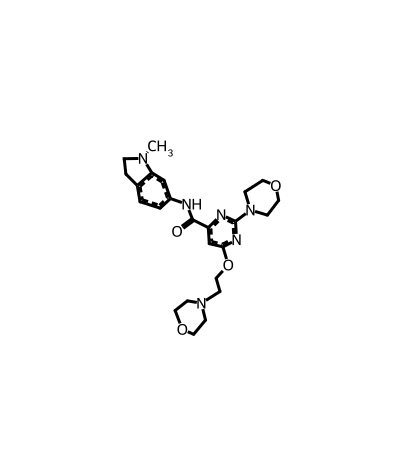 CN1CCc2ccc(NC(=O)c3cc(OCCN4CCOCC4)nc(N4CCOCC4)n3)cc21